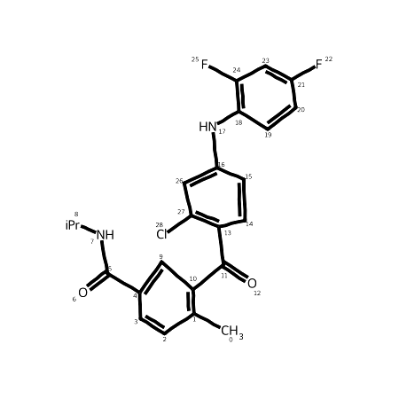 Cc1ccc(C(=O)NC(C)C)cc1C(=O)c1ccc(Nc2ccc(F)cc2F)cc1Cl